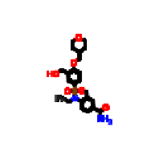 Cc1cc(C(N)=O)ccc1N(CC(C)C)S(=O)(=O)c1ccc(OCC2CCOCC2)c(CO)c1